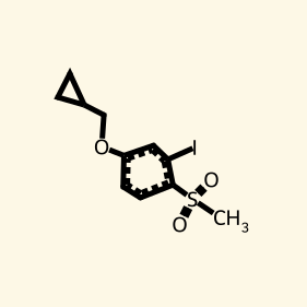 CS(=O)(=O)c1ccc(OCC2CC2)cc1I